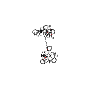 C[PH](c1ccccc1F)(c1ccccc1F)N(CCCCCCCCN([PH](C)(c1ccccc1F)c1ccccc1F)[PH]1(C)[C@H](c2ccccc2)CC[C@H]1c1ccccc1)[PH]1(C)[C@@H](c2ccccc2)CC[C@@H]1c1ccccc1